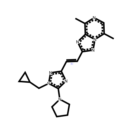 Cc1ncc(C)n2nc(/C=C/c3nc(N4CCCC4)n(CC4CC4)n3)nc12